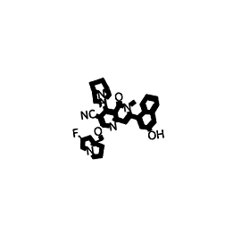 Cn1c(-c2cc(O)cc3ccccc23)cc2nc(OC[C@@]34CCCN3C[C@H](F)C4)c(C#N)c(N3CC4CCC(C3)N4)c2c1=O